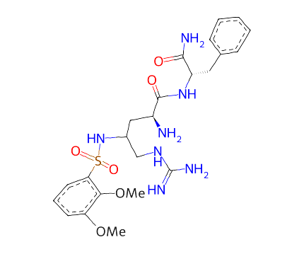 COc1cccc(S(=O)(=O)NC(CNC(=N)N)C[C@H](N)C(=O)N[C@@H](Cc2ccccc2)C(N)=O)c1OC